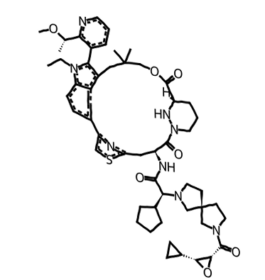 CCn1c(-c2cccnc2[C@H](C)OC)c2c3cc(ccc31)-c1csc(n1)C[C@H](NC(=O)[C@H](C1CCCC1)N1CC[C@]3(CCN(C(=O)[C@@H]4O[C@@H]4C4CC4)C3)C1)C(=O)N1CCC[C@H](N1)C(=O)OCC(C)(C)C2